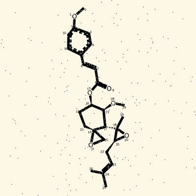 COc1ccc(/C=C/C(=O)O[C@@H]2CC[C@]3(CO3)[C@@H](C3(C)O[C@H]3CC=C(C)C)[C@@H]2OC)cc1